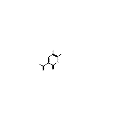 NC(=O)c1cc(Cl)c(N)[nH]c1=O